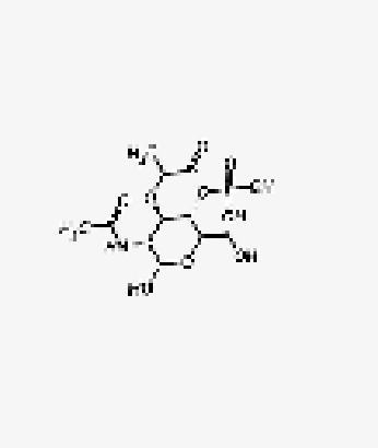 CC(=O)N[C@@H]1[C@@H](OC(C)[C]=O)[C@H](OP(=O)(O)O)[C@@H](CO)O[C@@H]1O